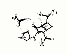 CC(O)[C@H]1CN2C(C(=O)O)=C(S[C@@H]3CN[C@H](CC(N)=O)C3)C(=O)[C@@H]12